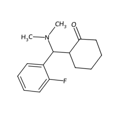 CN(C)C(c1ccccc1F)C1CCCCC1=O